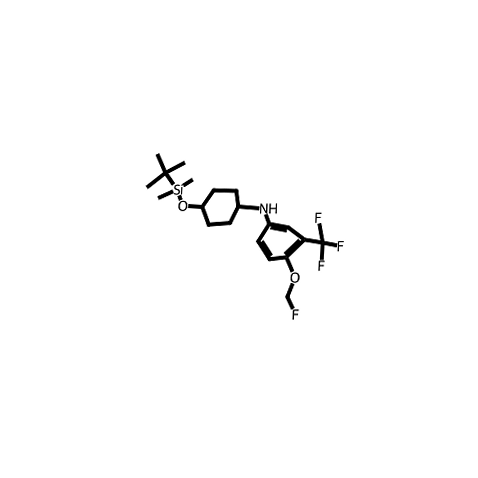 CC(C)(C)[Si](C)(C)OC1CCC(Nc2ccc(OCF)c(C(F)(F)F)c2)CC1